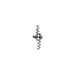 CCCCCCC1CCC2(C#N)C[C@H](CCCCC)CC[C@@H]2C1